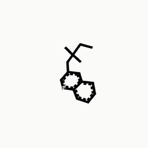 CCC(C)(C)Cc1cnc2ccccc2c1